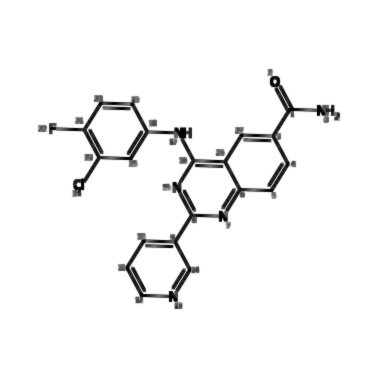 NC(=O)c1ccc2nc(-c3cccnc3)nc(Nc3ccc(F)c(Cl)c3)c2c1